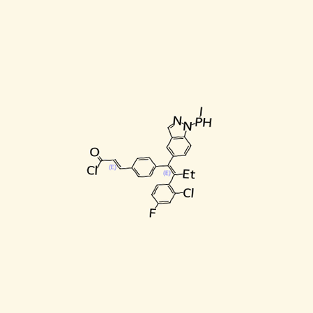 CC/C(=C(/c1ccc(/C=C/C(=O)Cl)cc1)c1ccc2c(cnn2PI)c1)c1ccc(F)cc1Cl